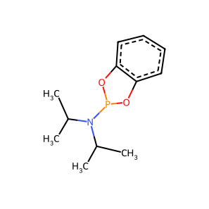 CC(C)N(C(C)C)P1Oc2ccccc2O1